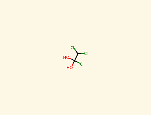 OC(O)(Cl)C(Cl)Cl